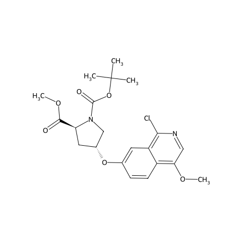 COC(=O)[C@@H]1C[C@@H](Oc2ccc3c(OC)cnc(Cl)c3c2)CN1C(=O)OC(C)(C)C